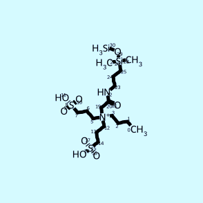 CCCC[N+](CCCS(=O)(=O)O)(CCCS(=O)(=O)O)CC(=O)NCCC[Si](C)(C)O[SiH3]